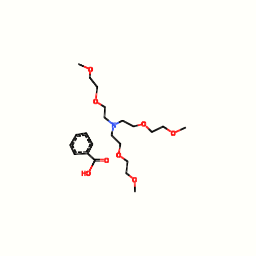 COCCOCCN(CCOCCOC)CCOCCOC.O=C(O)c1ccccc1